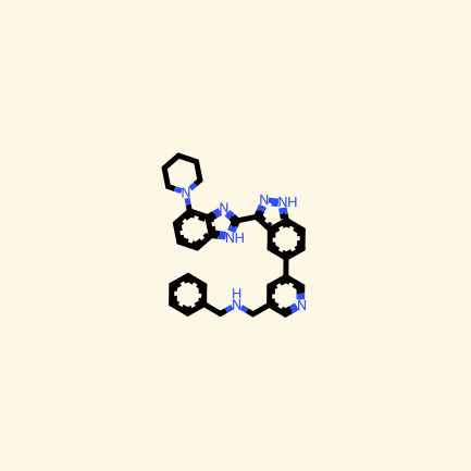 c1ccc(CNCc2cncc(-c3ccc4[nH]nc(-c5nc6c(N7CCCCC7)cccc6[nH]5)c4c3)c2)cc1